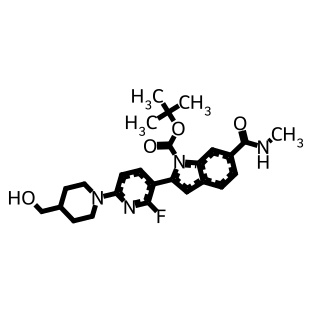 CNC(=O)c1ccc2cc(-c3ccc(N4CCC(CO)CC4)nc3F)n(C(=O)OC(C)(C)C)c2c1